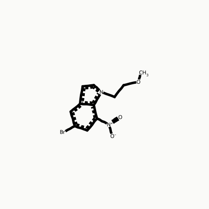 COCCn1ccc2cc(Br)cc([N+](=O)[O-])c21